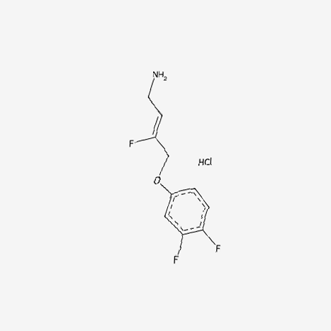 Cl.NC/C=C(\F)COc1ccc(F)c(F)c1